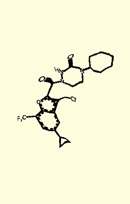 O=C(c1oc2c(C(F)(F)F)cc(C3CC3)cc2c1Cl)N1CCN(C2CCCCC2)C(=O)N1